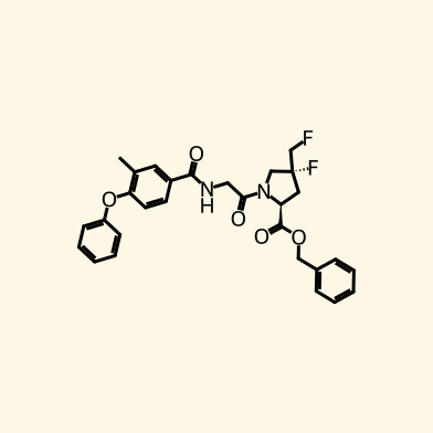 Cc1cc(C(=O)NCC(=O)N2C[C@@](F)(CF)C[C@H]2C(=O)OCc2ccccc2)ccc1Oc1ccccc1